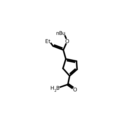 BC(=O)C1=CC=C(/C(=C/CC)OCCCC)C1